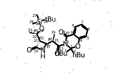 CCCCC1(CCCC)Oc2ccccc2C(=O)N1C(=O)[C@H](C)[C@H]1NC(=O)[C@@H]1[C@@H](C)O[Si](C)(C)C(C)(C)C